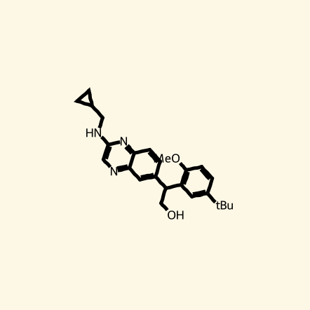 COc1ccc(C(C)(C)C)cc1C(CO)c1ccc2nc(NCC3CC3)cnc2c1